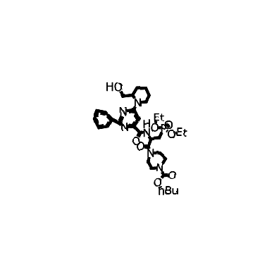 CCCCOC(=O)N1CCN(C(=O)C(CP(=O)(OCC)OCC)NC(=O)c2cc(N3CCCCC3CO)nc(-c3ccccc3)n2)CC1